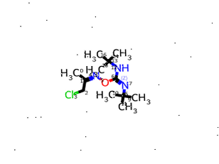 CC(CCl)=NO/C(=N\C(C)(C)C)NC(C)(C)C